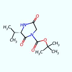 CC(C)[C@@H]1NC(=O)CN(C(=O)OC(C)(C)C)C1=O